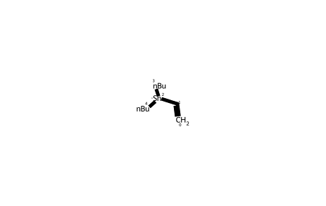 C=[CH][Sn]([CH2]CCC)[CH2]CCC